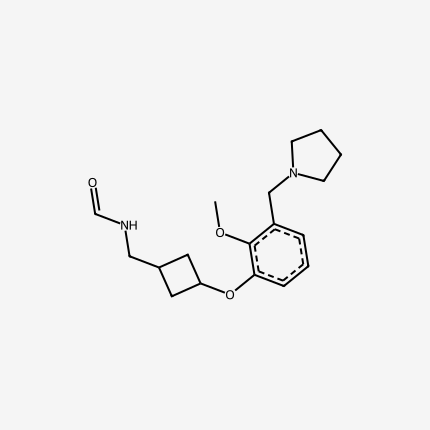 COc1c(CN2CCCC2)cccc1OC1CC(CNC=O)C1